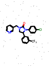 O=C1N(Cc2cccnc2)CC(c2cccc(C(F)(F)F)c2)N1c1ccc(Cl)cc1